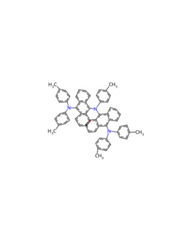 Cc1ccc(N(c2ccc(C)cc2)c2c3ccccc3c(N(c3ccc(C)cc3)c3c4ccccc4c(N(c4ccc(C)cc4)c4ccc(C)cc4)c4ccccc34)c3ccccc23)cc1